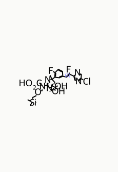 CN1C(N(COCC[Si](C)(C)C)C(=O)O)=NC(C)(c2cc(/C=C(\F)c3cnc(Cl)cn3)ccc2F)CS1(O)O